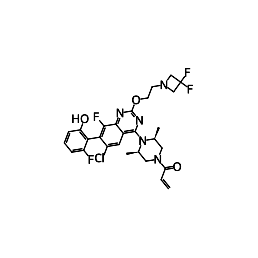 C=CC(=O)N1C[C@@H](C)N(c2nc(OCCN3CC(F)(F)C3)nc3c(F)c(-c4c(O)cccc4F)c(Cl)cc23)[C@@H](C)C1